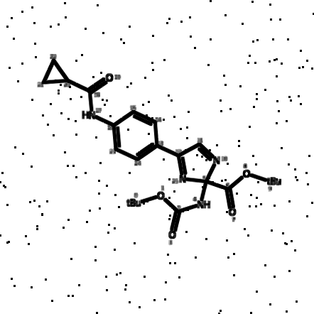 CC(C)(C)OC(=O)NC1(C(=O)OC(C)(C)C)N=CC(c2ccc(NC(=O)C3CC3)cc2)=N1